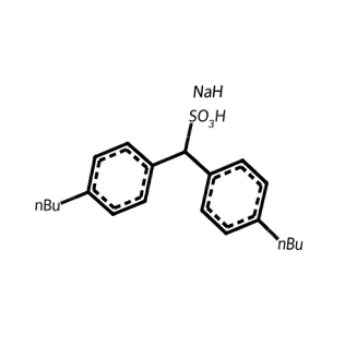 CCCCc1ccc(C(c2ccc(CCCC)cc2)S(=O)(=O)O)cc1.[NaH]